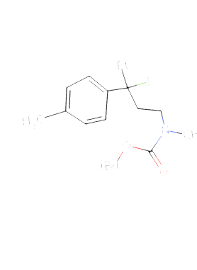 CCC(F)(CCN(C)C(=O)OC(C)(C)C)c1ccc(C)cc1